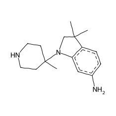 CC1(C)CN(C2(C)CCNCC2)c2cc(N)ccc21